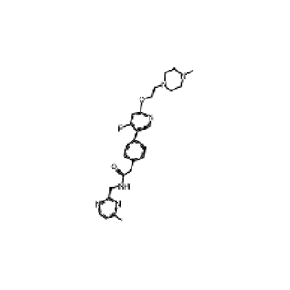 Cc1ccnc(CNC(=O)Cc2ccc(-c3cnc(OCCN4CCN(C)CC4)cc3F)cc2)n1